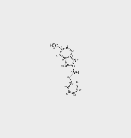 Cc1ccc2nc(NCc3ccccc3)sc2c1